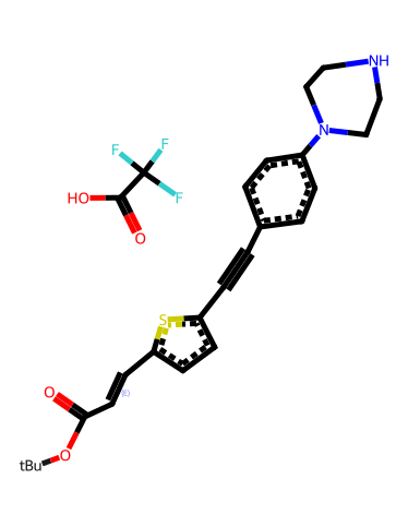 CC(C)(C)OC(=O)/C=C/c1ccc(C#Cc2ccc(N3CCNCC3)cc2)s1.O=C(O)C(F)(F)F